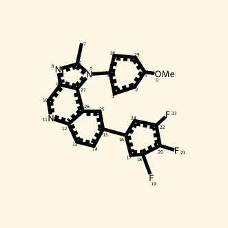 COc1ccc(-n2c(C)nc3cnc4ccc(-c5cc(F)c(F)c(F)c5)cc4c32)cc1